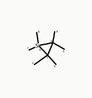 CC1(C)C(C)(C)[Si]1(C)C